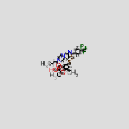 CCCC(=O)N1CCN(Cc2nc(-c3ccc(C(F)(F)F)cc3)sc2CSc2ccc(OC(C)C(=O)O)c(C)c2)CC1